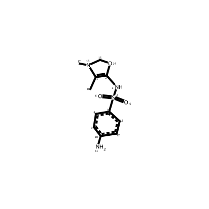 CC1=C(NS(=O)(=O)c2ccc(N)cc2)OCN1C